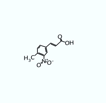 Cc1ccc(C=CC(=O)O)cc1[N+](=O)[O-]